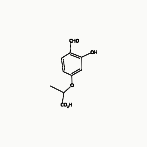 CC(Oc1ccc(C=O)c(O)c1)C(=O)O